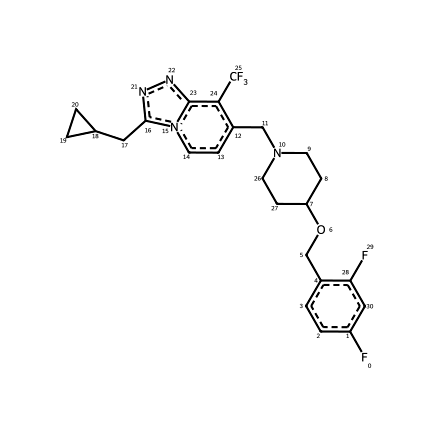 Fc1ccc(COC2CCN(Cc3ccn4c(CC5CC5)nnc4c3C(F)(F)F)CC2)c(F)c1